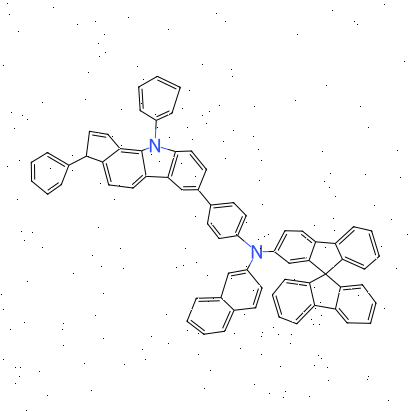 C1=CC(c2ccccc2)c2ccc3c4cc(-c5ccc(N(c6ccc7c(c6)C6(c8ccccc8-c8ccccc86)c6ccccc6-7)c6ccc7ccccc7c6)cc5)ccc4n(-c4ccccc4)c3c21